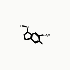 CC(C)NC1CCc2cc(F)c(C(=O)O)cc21